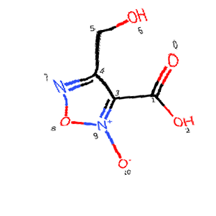 O=C(O)c1c(CO)no[n+]1[O-]